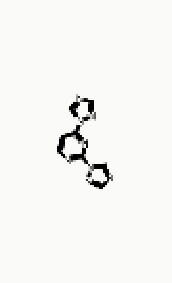 c1cc(-n2cncn2)nc(-n2cncn2)n1